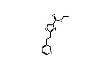 CCOC(=O)c1coc(CCc2cccnc2)n1